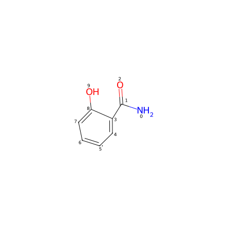 NC(=O)c1c[c]ccc1O